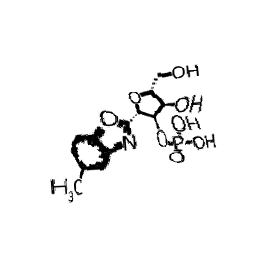 Cc1ccc2oc([C@@H]3O[C@H](CO)[C@@H](O)[C@H]3OP(=O)(O)O)nc2c1